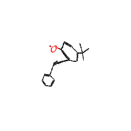 COc1ccc(C(C)(C)C)cc1C=Cc1ccccc1